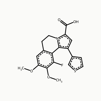 COc1cc2c(c(F)c1OC)-c1c(-c3ccsc3)cc(C(=O)O)n1CC2